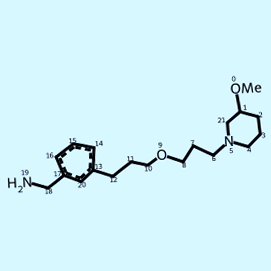 COC1CCCN(CCCOCCCc2cccc(CN)c2)C1